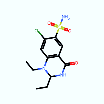 CCC1NC(=O)c2cc(S(N)(=O)=O)c(Cl)cc2N1CC